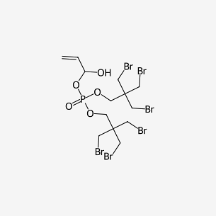 C=CC(O)OP(=O)(OCC(CBr)(CBr)CBr)OCC(CBr)(CBr)CBr